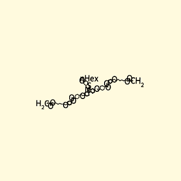 C=CC(=O)OCCCCCCOc1ccc(OC(=O)C2CCC(COc3ccc4c(c3)nc(SC3CCC(OCCCCCC)CC3)c3cc(OCC5CCC(C(=O)Oc6ccc(OCCCCCCOC(=O)C=C)cc6)CC5)ccc34)CC2)cc1